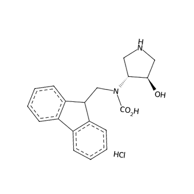 Cl.O=C(O)N(CC1c2ccccc2-c2ccccc21)[C@@H]1CNC[C@H]1O